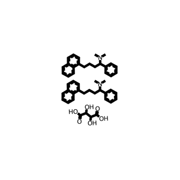 CN(C)C(CCCc1cccc2ccccc12)c1ccccc1.CN(C)C(CCCc1cccc2ccccc12)c1ccccc1.O=C(O)C(O)C(O)C(=O)O